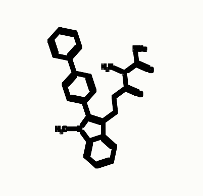 CNC(=O)N(N)C(=O)CCc1c(-c2ccc(-c3ccccc3)cc2)n(C)c2ccccc12